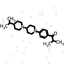 CC(C)C(=O)c1ccc(N2CCC(N3CCC(C(C)C)CC3)CC2)cc1